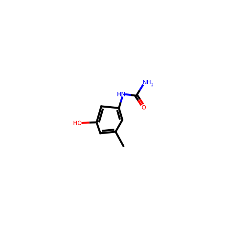 Cc1cc(O)cc(NC(N)=O)c1